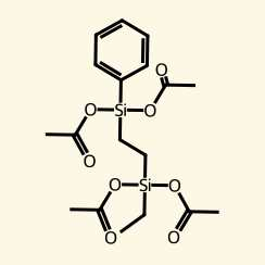 CC[Si](CC[Si](OC(C)=O)(OC(C)=O)c1ccccc1)(OC(C)=O)OC(C)=O